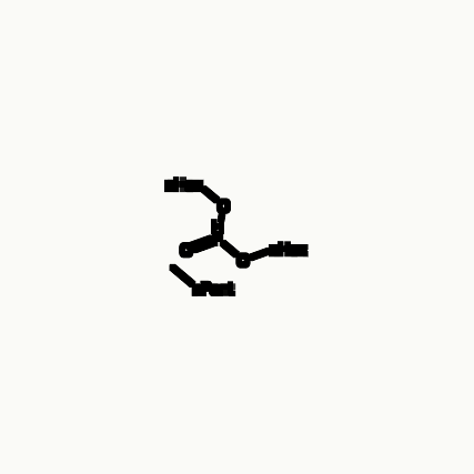 CCCCCC.CCCCCCO[PH](=O)OCCCCCC